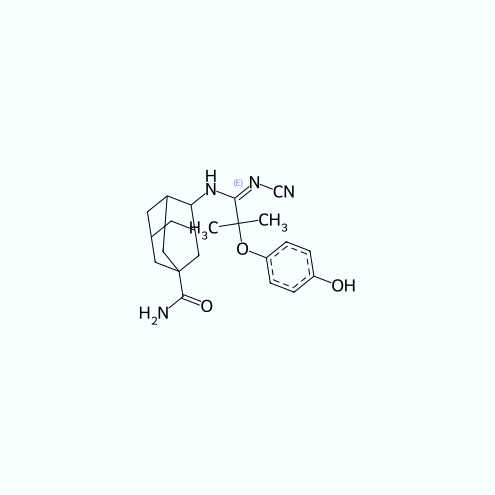 CC(C)(Oc1ccc(O)cc1)/C(=N\C#N)NC1C2CC3CC1CC(C(N)=O)(C3)C2